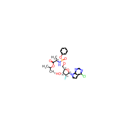 CC(C)OC(=O)[C@@H](C)NP(=O)(OC[C@H]1O[C@@H](n2ccc3c(Cl)ncnc32)[C@@H](F)[C@@H]1O)Oc1ccccc1